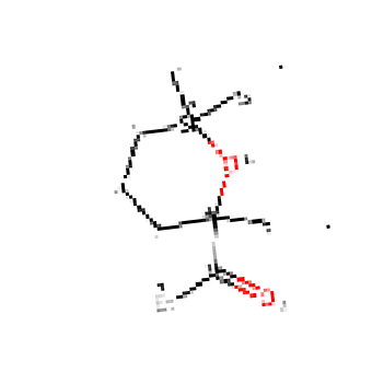 CCC(=O)C1(C)CCC[Si](C)(C)O1